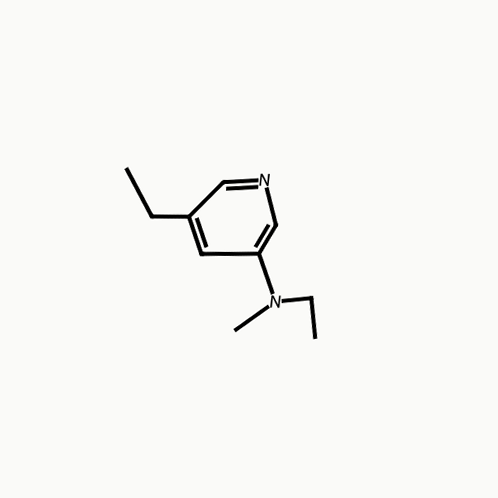 CCc1cncc(N(C)CC)c1